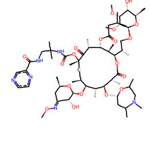 CON=C1C[C@@H](C)O[C@@H](O[C@@H]2[C@@H](C)[C@H](O[C@H]3CC(C)N(C)CC(C)O3)[C@@H](C)C(=O)O[C@H]([C@@H](C)CO[C@@H]3O[C@H](C)[C@@H](O)[C@@H](OC)[C@H]3OC)[C@H](C)[C@@H](OC(=O)CC(C)C)[C@@H](C)C(=O)[C@@](C)(OC(=O)NC(C)(C)CNC(=O)c3cnccn3)C[C@@H]2C)[C@@H]1O